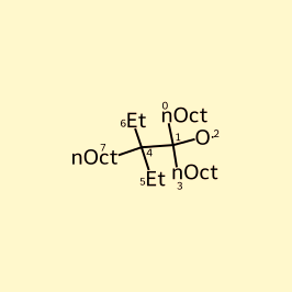 CCCCCCCCC([O])(CCCCCCCC)C(CC)(CC)CCCCCCCC